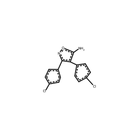 Nc1onc(-c2ccc(Cl)cc2)c1-c1ccc(Cl)cc1